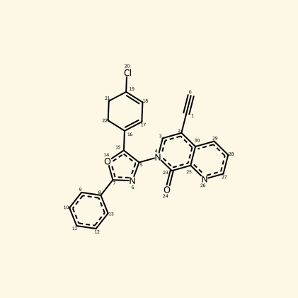 C#Cc1cn(-c2nc(-c3ccccc3)oc2C2=CC=C(Cl)CC2)c(=O)c2ncccc12